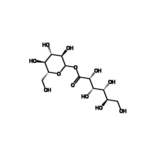 O=C(OC1O[C@H](CO)[C@@H](O)[C@H](O)[C@H]1O)[C@H](O)[C@@H](O)[C@H](O)[C@H](O)CO